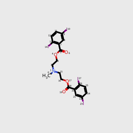 CN(CCOC(=O)c1cc(I)ccc1I)CCOC(=O)c1cc(I)ccc1I